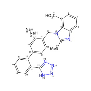 CSc1nc2cccc(C(=O)O)c2n1Cc1ccc(-c2ccccc2-c2nnn[nH]2)cc1.[NaH].[NaH]